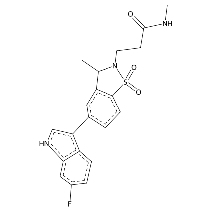 CNC(=O)CCN1C(C)c2cc(-c3c[nH]c4cc(F)ccc34)ccc2S1(=O)=O